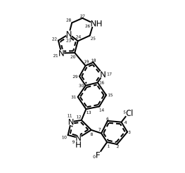 Fc1ccc(Cl)cc1-c1[nH]cnc1-c1ccc2ncc(-c3ncn4c3CNCC4)cc2c1